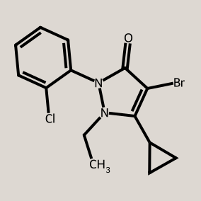 CCn1c(C2CC2)c(Br)c(=O)n1-c1ccccc1Cl